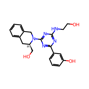 OCCNc1nc(-c2cccc(O)c2)nc(N2Cc3ccccc3C[C@@H]2CO)n1